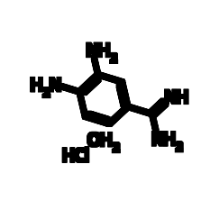 Cl.N=C(N)c1ccc(N)c(N)c1.O